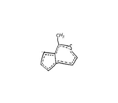 Cc1sccc2cc[c]c1-2